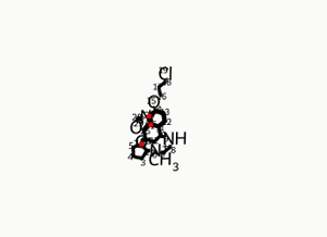 C[N+]1(C2CCCC2)CCNC(c2ccc(OCCCCl)cc2)C1C(=O)c1cnco1